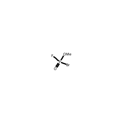 COP(=O)(F)Br